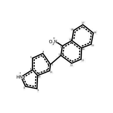 O=[N+]([O-])c1c(-c2ccc3[nH]ccc3c2)ccc2ccccc12